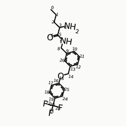 CCCC(N)C(=O)NCc1cccc(COc2ccc(C(F)(F)F)cc2)c1